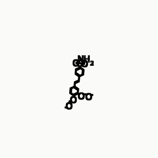 COCOc1ccc(/C=C/c2ccc(S(N)(=O)=O)cc2)cc1OCOC